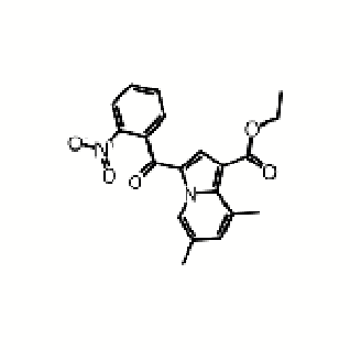 CCOC(=O)c1cc(C(=O)c2ccccc2[N+](=O)[O-])n2cc(C)cc(C)c12